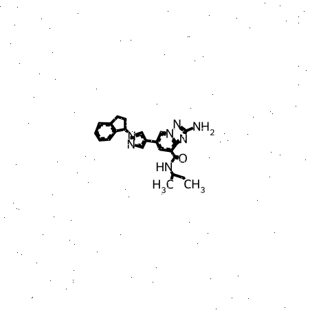 CCC(C)NC(=O)c1cc(-c2cnn(C3CCc4ccccc43)c2)cn2nc(N)nc12